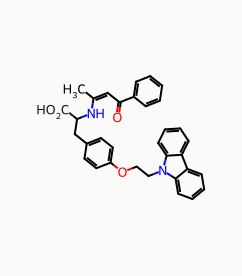 C/C(=C/C(=O)c1ccccc1)NC(Cc1ccc(OCCn2c3ccccc3c3ccccc32)cc1)C(=O)O